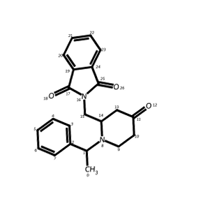 CC(c1ccccc1)N1CCC(=O)CC1CN1C(=O)c2ccccc2C1=O